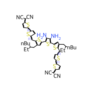 CCCCC(CC)Cc1cc(-c2sc(-c3cc(CC(CC)CCCC)c(/C=c4\cc/c(=c5/ccc(=C(C#N)C#N)s5)s4)s3)c(N)c2N)sc1/C=c1\cc/c(=c2/ccc(=C(C#N)C#N)s2)s1